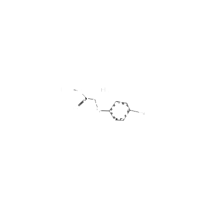 COC(=O)CNc1ccc(Br)cc1.Cl